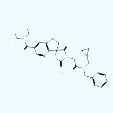 C[C@@H](C1CC1)N(Cc1ccccc1)C(=O)CN1C(=O)OC2(CCc3cc(C(=O)N(CC(=O)O)CC(=O)O)ccc32)C1=O